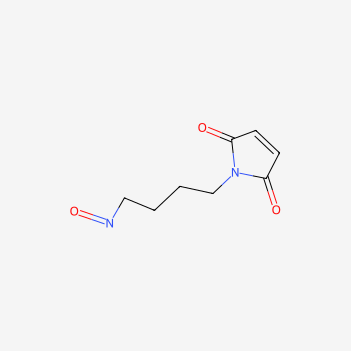 O=NCCCCN1C(=O)C=CC1=O